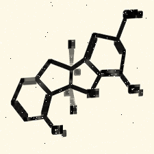 COc1cc(C)c2c(c1)[C@@H]1Cc3cccc(C)c3[C@@H]1N2